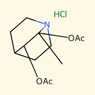 CC(=O)OC1C2CCN(CC2)C1(C)OC(C)=O.Cl